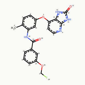 Cc1ccc(Oc2ccnc3[nH]c(=O)[nH]c23)cc1NC(=O)c1cccc(OCF)c1